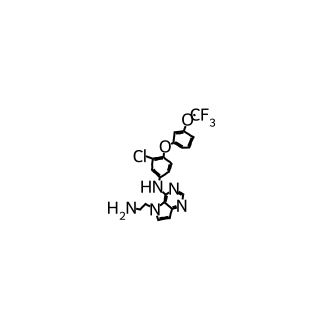 NCCn1ccc2ncnc(Nc3ccc(Oc4cccc(OC(F)(F)F)c4)c(Cl)c3)c21